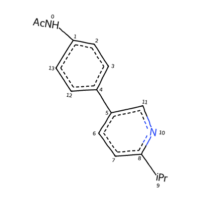 CC(=O)Nc1ccc(-c2ccc(C(C)C)nc2)cc1